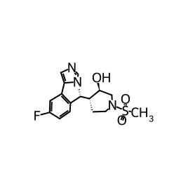 CS(=O)(=O)N1CC[C@H]([C@@H]2c3ccc(F)cc3-c3cncn32)[C@@H](O)C1